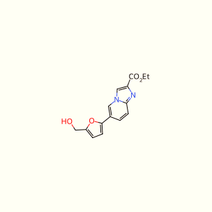 CCOC(=O)c1cn2cc(-c3ccc(CO)o3)ccc2n1